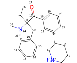 C1CCNCC1.CCC(Cc1ccccc1)(C(=O)c1ccccc1)N(C)C